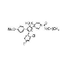 COc1ccc(-c2nc(C3(C(=O)O)CCN(C(=O)N(C)O)CC3)oc2-c2ccc(Cl)cc2Cl)cc1